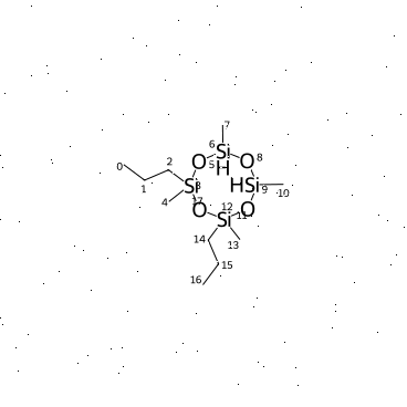 CCC[Si]1(C)O[SiH](C)O[SiH](C)O[Si](C)(CCC)O1